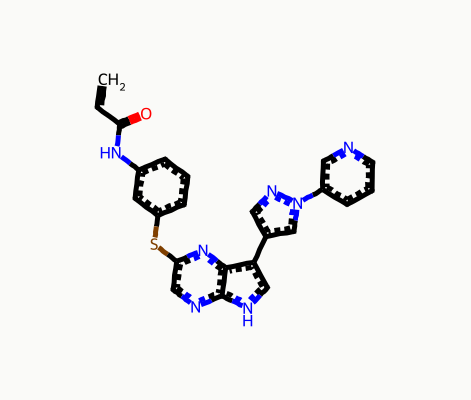 C=CC(=O)Nc1cccc(Sc2cnc3[nH]cc(-c4cnn(-c5cccnc5)c4)c3n2)c1